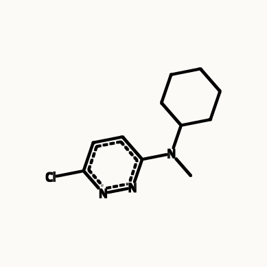 CN(c1ccc(Cl)nn1)C1CCCCC1